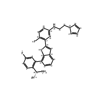 CC(C)[C@@H](N)c1ccc(F)cc1-c1cccc2cc(-c3nc(NCCn4ccnn4)ncc3F)sc12